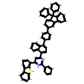 c1ccc(-c2nc(-c3ccc(-c4ccc(-c5ccc6c(c5)-c5ccccc5C6(c5ccccc5)c5ccccc5)cc4)c4ccccc34)cc(-c3cccc4c3sc3ccccc34)n2)cc1